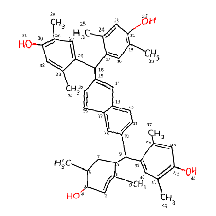 CC1=CC(O)C(C)CC1C(c1ccc2cc(C(c3cc(C)c(O)cc3C)c3cc(C)c(O)cc3C)ccc2c1)c1cc(C)c(O)cc1C